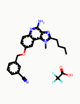 CCCCc1nc2c(N)nc3ccc(OCc4cccc(C#N)c4)cc3c2n1C.O=C(O)C(F)(F)F